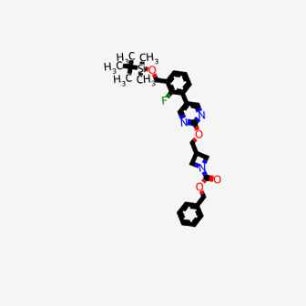 CC(C)(C)[Si](C)(C)OCc1cccc(-c2cnc(OCC3CN(C(=O)OCc4ccccc4)C3)nc2)c1F